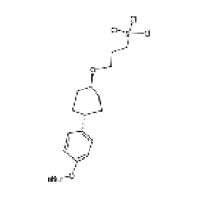 CCCCOc1ccc([C@H]2CC[C@H](OCCC[Si](Cl)(Cl)Cl)CC2)cc1